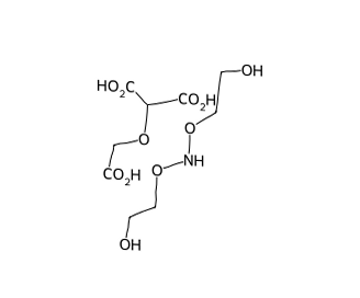 O=C(O)COC(C(=O)O)C(=O)O.OCCONOCCO